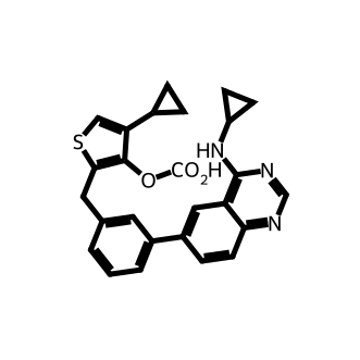 O=C(O)Oc1c(C2CC2)csc1Cc1cccc(-c2ccc3ncnc(NC4CC4)c3c2)c1